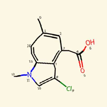 Cc1cc(C(=O)O)c2c(Cl)cn(C)c2c1